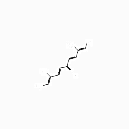 C/C=C(C)/C=C/C(=O)/C=C/C(C)=C/C.[Ru]